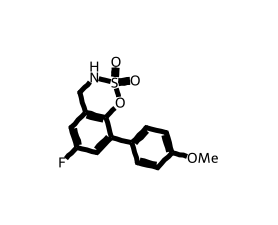 COc1ccc(-c2cc(F)cc3c2OS(=O)(=O)NC3)cc1